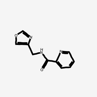 O=C(NCc1cocn1)c1ccccn1